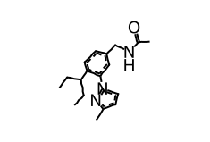 CCC(CC)c1ccc(CNC(C)=O)cc1-n1ccc(C)n1